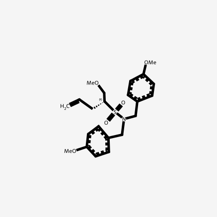 C=CC[C@H](COC)S(=O)(=O)N(Cc1ccc(OC)cc1)Cc1ccc(OC)cc1